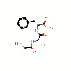 CCC(C)[C@H](NC(=O)[C@H](C)N)C(=O)N[C@@H](Cc1ccccc1)C(=O)OC